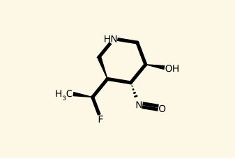 C[C@H](F)[C@H]1CNC[C@@H](O)[C@@H]1N=O